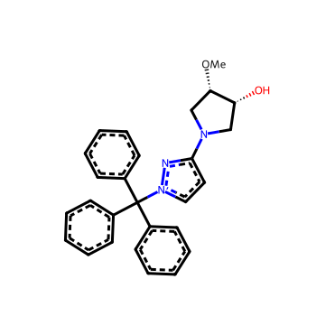 CO[C@H]1CN(c2ccn(C(c3ccccc3)(c3ccccc3)c3ccccc3)n2)C[C@H]1O